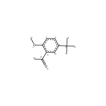 COc1ccc(C(C)(C)C)cc1C(C)=O